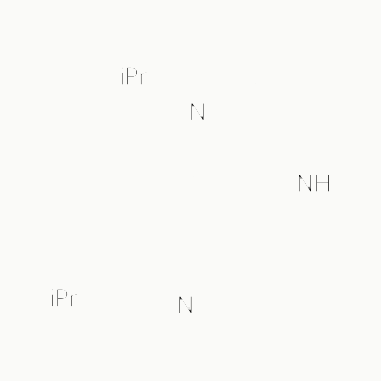 CC(C)c1cc2c(cn1)NCCN2C(C)C